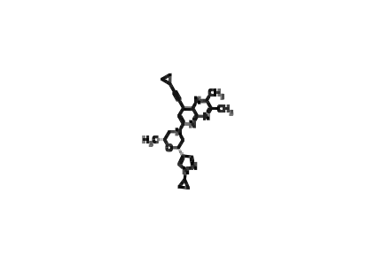 Cc1nc2nc(N3C[C@@H](C)O[C@@H](c4cnn(C5CC5)c4)C3)cc(C#CC3CC3)c2nc1C